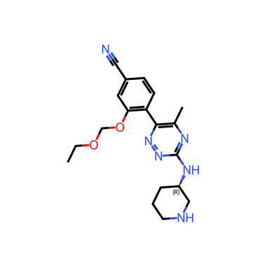 CCOCOc1cc(C#N)ccc1-c1nnc(N[C@@H]2CCCNC2)nc1C